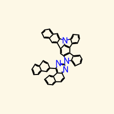 c1ccc2cc(-c3nc(-n4c5ccccc5c5c6c7ccccc7n7c8cc9ccccc9cc8c(cc54)c67)nc4ccc5ccccc5c34)ccc2c1